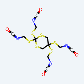 O=C=NCSC1(SCN=C=O)CSC(SCN=C=O)(SCN=C=O)SC1